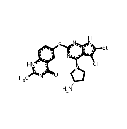 CCc1[nH]c2nc(Sc3ccc4[nH]c(C)nc(=O)c4c3)nc(N3CC[C@H](N)C3)c2c1Cl